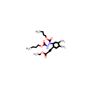 CCCCOC(=O)NN(C(=O)OCCCC)c1cc(C)c(C)cc1C#CC(=O)OCC